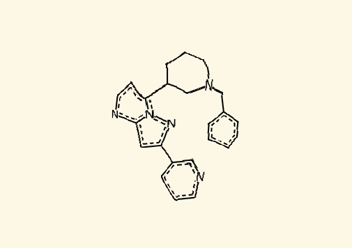 c1ccc(CN2CCCC(c3ccnc4cc(-c5cccnc5)nn34)C2)cc1